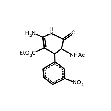 CCOC(=O)C1=C(N)NC(=O)C(NC(C)=O)C1c1cccc([N+](=O)[O-])c1